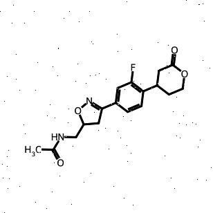 CC(=O)NCC1CC(c2ccc(C3CCOC(=O)C3)c(F)c2)=NO1